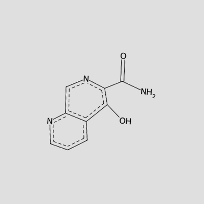 NC(=O)c1ncc2ncccc2c1O